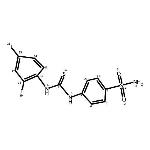 NS(=O)(=O)c1ccc(NC(=S)Nc2ccc(I)cc2F)cc1